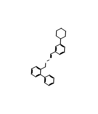 [C](=N\OCc1ccccc1-c1ccccc1)/c1cccc(C2CCCCC2)c1